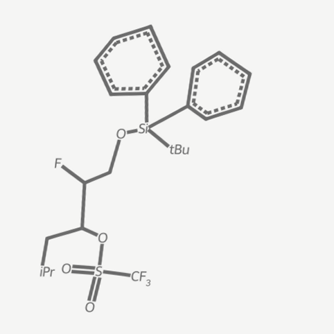 CC(C)CC(OS(=O)(=O)C(F)(F)F)C(F)CO[Si](c1ccccc1)(c1ccccc1)C(C)(C)C